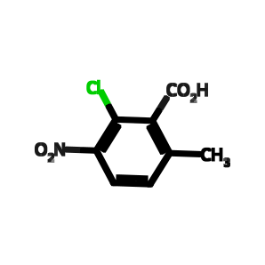 Cc1ccc([N+](=O)[O-])c(Cl)c1C(=O)O